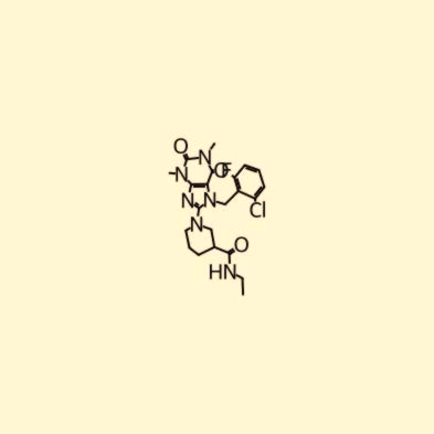 CCNC(=O)C1CCCN(c2nc3c(c(=O)n(C)c(=O)n3C)n2Cc2c(F)cccc2Cl)C1